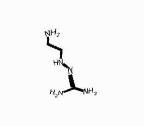 NCCNN=C(N)N